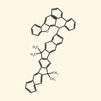 CC1(C)c2cc3c(cc2-c2cc4ccccc4cc21)C(C)(C)c1cc2cc(N(c4ccccc4-c4ccccc4)c4cccc5c4oc4ccccc45)ccc2cc1-3